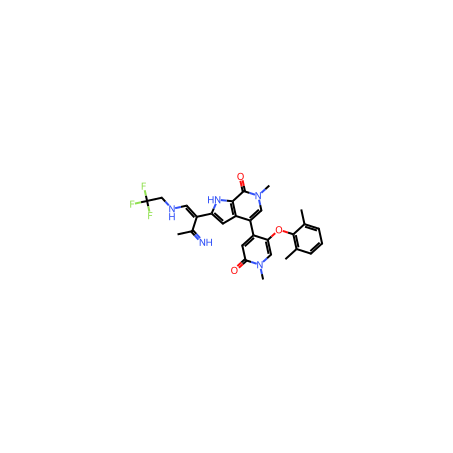 CC(=N)/C(=C\NCC(F)(F)F)c1cc2c(-c3cc(=O)n(C)cc3Oc3c(C)cccc3C)cn(C)c(=O)c2[nH]1